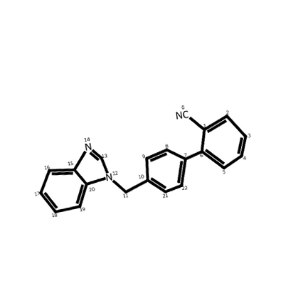 N#Cc1ccccc1-c1ccc(Cn2cnc3ccccc32)cc1